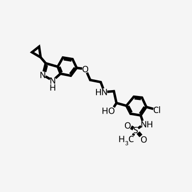 CS(=O)(=O)Nc1cc(C(O)CNCCOc2ccc3c(C4CC4)n[nH]c3c2)ccc1Cl